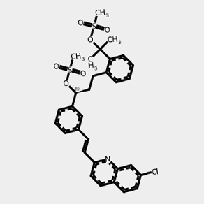 CC(C)(OS(C)(=O)=O)c1ccccc1CC[C@H](OS(C)(=O)=O)c1cccc(C=Cc2ccc3ccc(Cl)cc3n2)c1